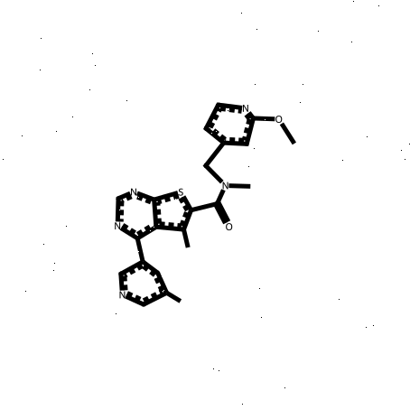 COc1cc(CN(C)C(=O)c2sc3ncnc(-c4cncc(C)c4)c3c2C)ccn1